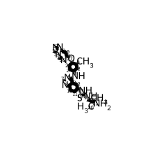 Cc1cc(Nc2ncnc3ccc(NC(=S)NCC(C)(C)N)cc23)ccc1Oc1cc2nncn2cn1